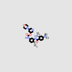 CCN(CC)c1ccc(C(=O)Nc2cc(NC(=O)Oc3cncc(N4CCOCC4)c3)ccc2C)c(C)c1